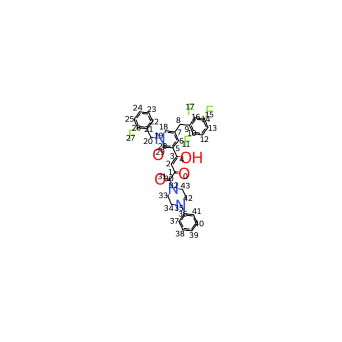 O=C(/C=C(\O)c1cc(Cc2c(F)ccc(F)c2F)cn(Cc2ccccc2F)c1=O)C(=O)N1CCN(c2ccccc2)CC1